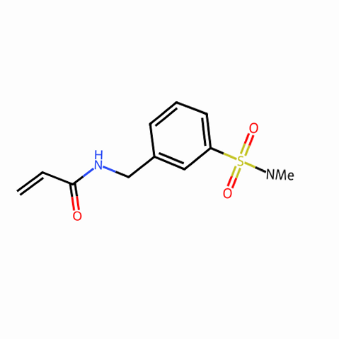 C=CC(=O)NCc1cccc(S(=O)(=O)NC)c1